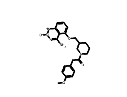 COc1ccc(CC(=O)N2CCCC(COc3cccc4c3C(N)=N[S+]([O-])N4)C2)cc1